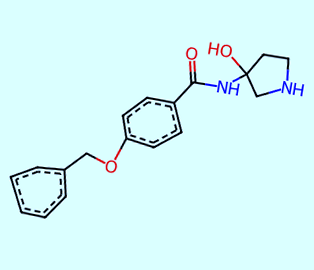 O=C(NC1(O)CCNC1)c1ccc(OCc2ccccc2)cc1